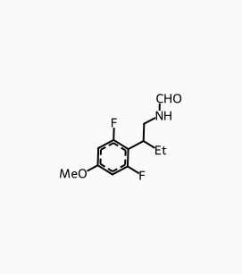 CCC(CNC=O)c1c(F)cc(OC)cc1F